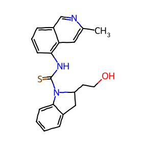 Cc1cc2c(NC(=S)N3c4ccccc4CC3CCO)cccc2cn1